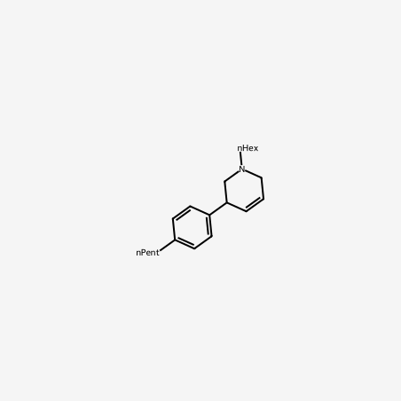 [CH2]CCCCCN1CC=CC(c2ccc(CCCCC)cc2)C1